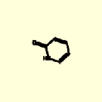 O=c1ccc[c][nH]1